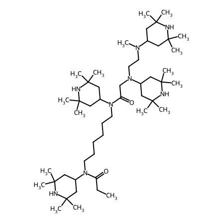 CCC(=O)N(CCCCCCN(C(=O)CN(CCN(C)C1CC(C)(C)NC(C)(C)C1)C1CC(C)(C)NC(C)(C)C1)C1CC(C)(C)NC(C)(C)C1)C1CC(C)(C)NC(C)(C)C1